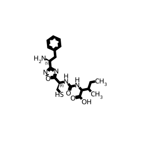 CCC(C)C(NC(=O)N[C@@H](CS)c1nc([C@@H](N)Cc2ccccc2)no1)C(=O)O